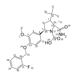 COc1cc([C@H]2CC(C(C)(C)C)[C@@](C)(C(N)=O)N2C(=O)O)ccc1OCc1ccccc1F